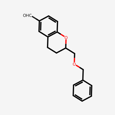 O=Cc1ccc2c(c1)CCC(COCc1ccccc1)O2